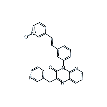 O=c1c(Cc2cccnc2)nc2cccnc2n1-c1cccc(/C=C/c2ccc[n+]([O-])c2)c1